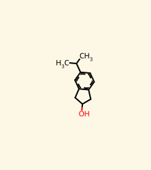 CC(C)c1ccc2c(c1)CC(O)C2